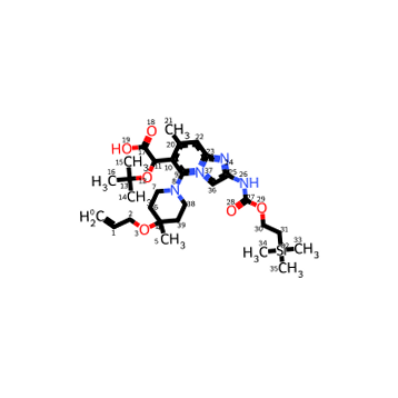 C=CCOC1(C)CCN(c2c(C(OC(C)(C)C)C(=O)O)c(C)cc3nc(NC(=O)OCC[Si](C)(C)C)cn23)CC1